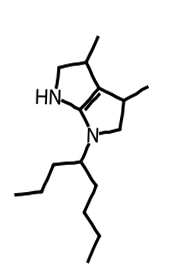 CCCCC(CCC)N1CC(C)C2=C1NCC2C